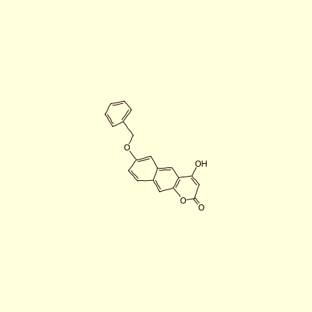 O=c1cc(O)c2cc3cc(OCc4ccccc4)ccc3cc2o1